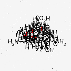 CSCC[C@H](NC(=O)[C@@H](N)CO)C(=O)N[C@@H](CCC(N)=O)C(=O)N[C@@H](C)C(=O)N[C@@H](CO)C(=O)N[C@@H](CC(C)C)C(=O)N[C@@H](CCC(=O)O)C(=O)N[C@@H](C)C(=O)N[C@@H](CCC(=O)O)C(=O)N[C@@H](C)C(=O)N[C@@H](CCCCN)C(=O)NCC(=O)N[C@@H](CCCCN)C(=O)N[C@@H](C)C(=O)N[C@@H](CCCCN)C(=O)N[C@@H](CCC(N)=O)C(=O)N[C@@H](CCC(=O)O)C(=O)O